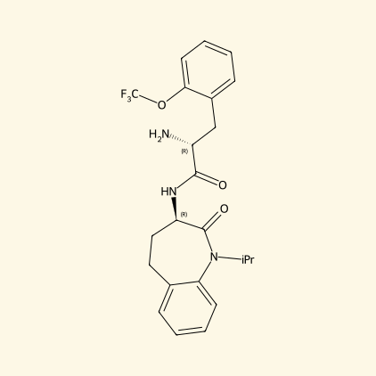 CC(C)N1C(=O)[C@H](NC(=O)[C@H](N)Cc2ccccc2OC(F)(F)F)CCc2ccccc21